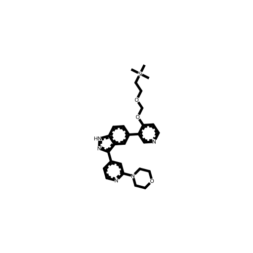 C[Si](C)(C)CCOCOc1ccncc1-c1ccc2[nH]nc(-c3ccnc(N4CCOCC4)c3)c2c1